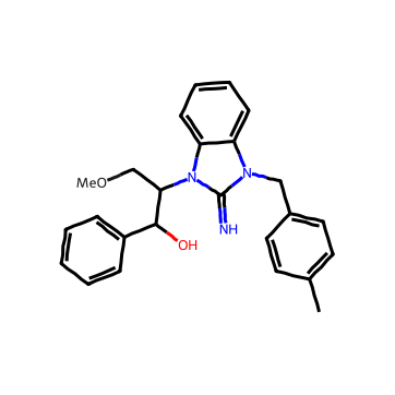 COCC(C(O)c1ccccc1)n1c(=N)n(Cc2ccc(C)cc2)c2ccccc21